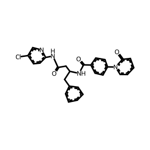 O=C(CC(Cc1ccccc1)NC(=O)c1ccc(-n2ccccc2=O)cc1)Nc1ccc(Cl)cn1